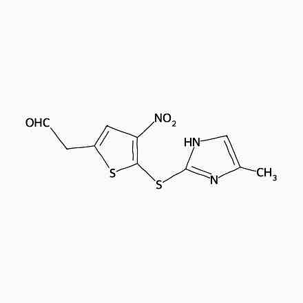 Cc1c[nH]c(Sc2sc(CC=O)cc2[N+](=O)[O-])n1